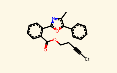 CCC#CCCOC(=O)c1ccccc1-c1nc(C)c(-c2ccccc2)o1